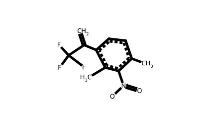 C=C(c1ccc(C)c([N+](=O)[O-])c1C)C(F)(F)F